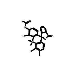 CC(=O)Oc1ccc2c(c1Cl)[Si](C)(C)c1c(ccc(C)c1Cl)C21OC(=O)c2ccccc21